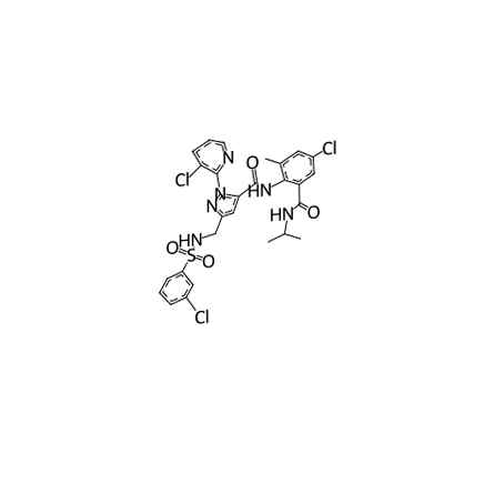 Cc1cc(Cl)cc(C(=O)NC(C)C)c1NC(=O)c1cc(CNS(=O)(=O)c2cccc(Cl)c2)nn1-c1ncccc1Cl